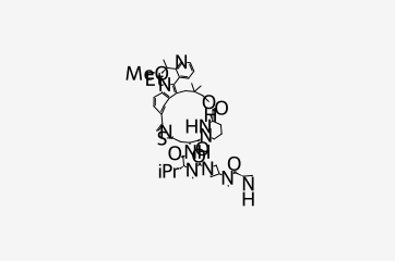 CCn1c(-c2cccnc2[C@H](C)OC)c2c3cc(ccc31)-c1csc(n1)C[C@H](NC(=O)[C@H](C(C)C)N(C)C(=O)N1CC(N(C)C(=O)[C@H]3CN3)C1)C(=O)N1CCC[C@H](N1)C(=O)OCC(C)(C)C2